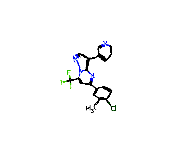 Cc1cc(-c2cc(C(F)(F)F)n3ncc(-c4cccnc4)c3n2)ccc1Cl